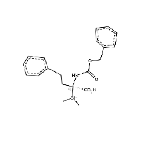 C[SiH](C)[C@@](CCc1ccccc1)(NC(=O)OCc1ccccc1)C(=O)O